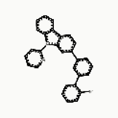 Brc1ccccc1-c1cccc(-c2ccc3c4ccccc4n(-c4ccccn4)c3c2)c1